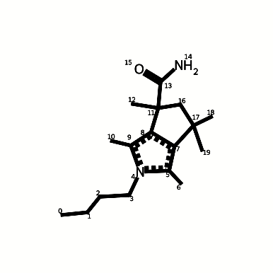 CCCCn1c(C)c2c(c1C)C(C)(C(N)=O)CC2(C)C